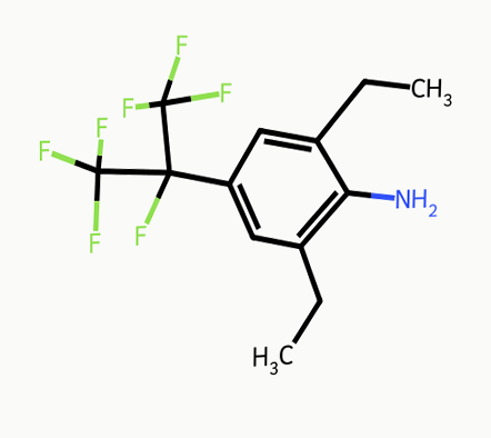 CCc1cc(C(F)(C(F)(F)F)C(F)(F)F)cc(CC)c1N